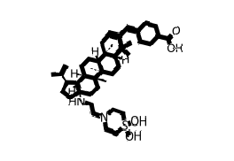 C=C(C)[C@@H]1CC[C@]2(NCCN3CCS(O)(O)CC3)CC[C@]3(C)[C@H](CC[C@@H]4[C@@]5(C)CC=C(C=C6CCC(C(=O)O)CC6)C(C)(C)[C@@H]5CC[C@]43C)[C@@H]12